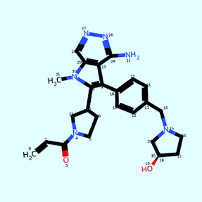 C=CC(=O)N1CCC(c2c(-c3ccc(CN4CC[C@@H](O)C4)cc3)c3c(N)nncc3n2C)C1